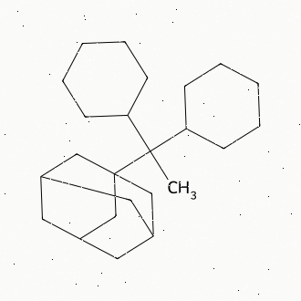 CC(C1CCCCC1)(C1CCCCC1)C12CC3CC(CC(C3)C1)C2